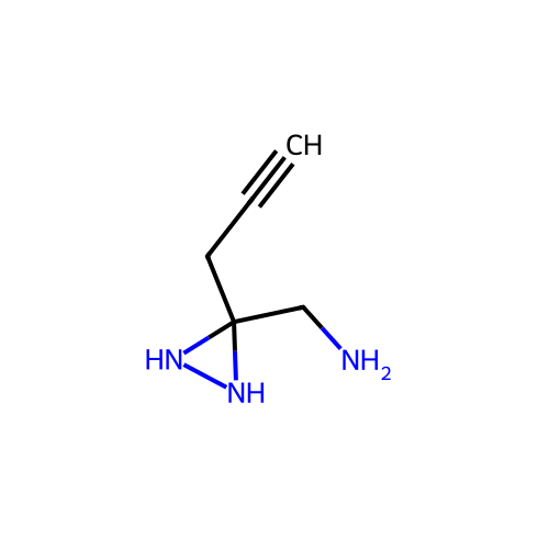 C#CCC1(CN)NN1